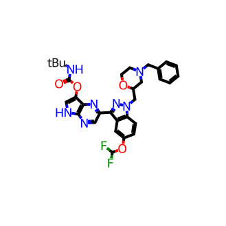 CC(C)(C)NC(=O)Oc1c[nH]c2ncc(-c3nn(CC4CN(Cc5ccccc5)CCO4)c4ccc(OC(F)F)cc34)nc12